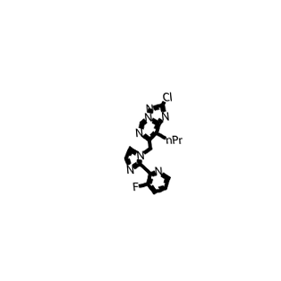 CCCc1c(Cn2ccnc2-c2ncccc2F)ncn2nc(Cl)nc12